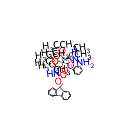 CC(C)C[C@@H](C(=O)NN)[C@H](C(=O)OC(C)(C)C)C(/C=C/c1ccccc1)(CC(C)C)C(=O)[C@@H](COC(C)(C)C)NC(=O)OCC1c2ccccc2-c2ccccc21